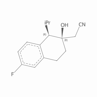 CC(C)[C@@H]1c2ccc(F)cc2CC[C@@]1(O)CC#N